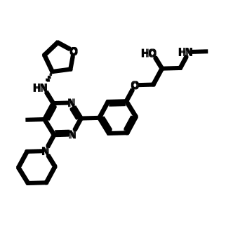 CNCC(O)COc1cccc(-c2nc(N[C@@H]3CCOC3)c(C)c(N3CCCCC3)n2)c1